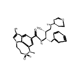 CCCc1cn2c3c(cc(C(=O)N[C@@H](Cc4ccccc4)[C@H](O)CNC4CCOCC4)cc13)N(C)S(=O)(=O)CC2